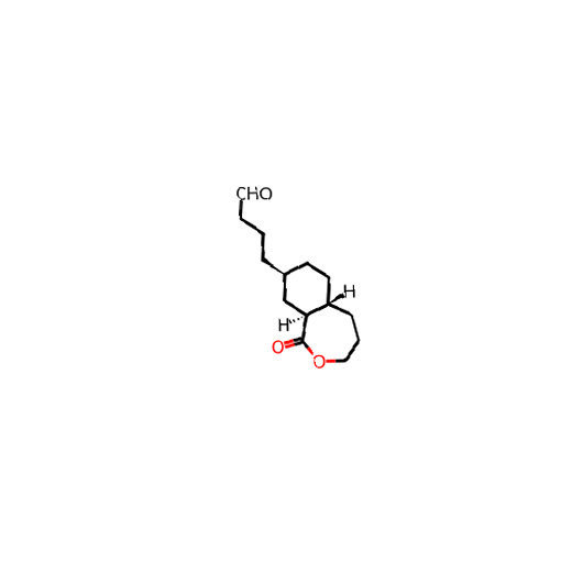 O=CCCC[C@H]1CC[C@@H]2CCCOC(=O)[C@H]2C1